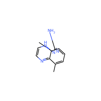 CC1=CC=C2N=C(N)N(C)C23NC=CN=C13